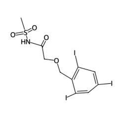 CS(=O)(=O)NC(=O)COCc1c(I)cc(I)cc1I